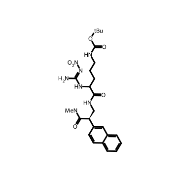 CNC(=O)[C@@H](CNC(=O)C(CCCNC(=O)OC(C)(C)C)NC(N)=N[N+](=O)[O-])c1ccc2ccccc2c1